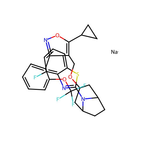 Fc1cccc2sc(N3C4CCC3CC(OCc3c(-c5ccccc5OC(F)(F)F)noc3C3CC3)C4)nc12.[Na]